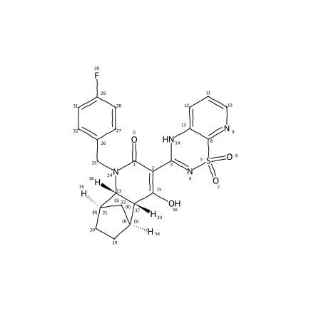 O=C1C(C2=NS(=O)(=O)c3ncccc3N2)=C(O)[C@@H]2[C@H]3CC[C@H](C3)[C@@H]2N1Cc1ccc(F)cc1